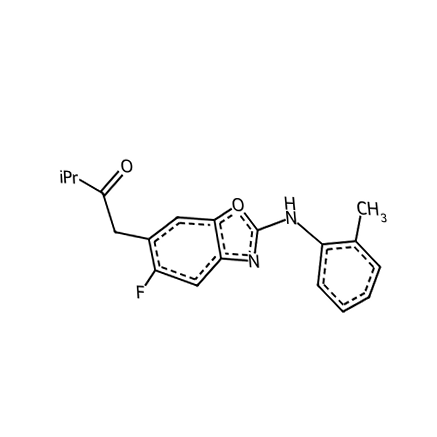 Cc1ccccc1Nc1nc2cc(F)c(CC(=O)C(C)C)cc2o1